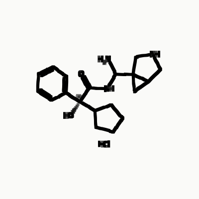 Cl.NC(NC(=O)[C@](O)(c1ccccc1)C1CCCC1)C12CNCC1C2